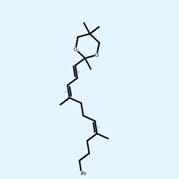 C/C(=C/C=C/C1(C)OCC(C)(C)CO1)CC/C=C(/C)CCCC(C)C